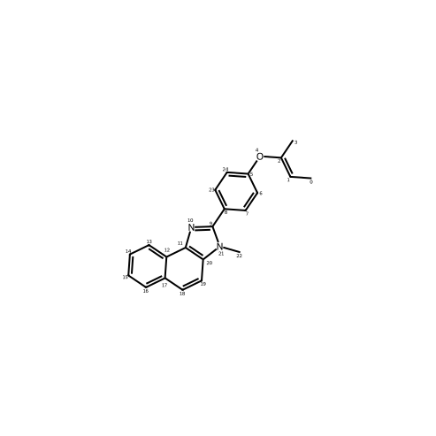 CC=C(C)Oc1ccc(-c2nc3c4ccccc4ccc3n2C)cc1